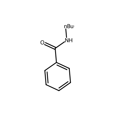 CCC[CH]NC(=O)c1ccccc1